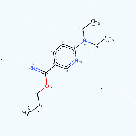 CCCOC(=N)c1ccc(N(CC)CC)nc1